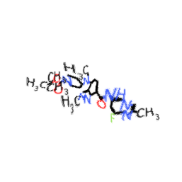 CCN(c1ccc(C(=O)Nc2cc(F)c3nc(C)cn3c2)c2nn(C)cc12)C1CCN(C(=O)OC(C)(C)C)CC1